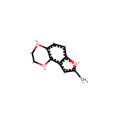 Cc1cc2c3c(ccc2o1)OCCO3